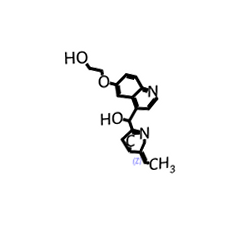 C/C=C1\CN2CCC1CC2C(O)c1ccnc2ccc(OCCO)cc12